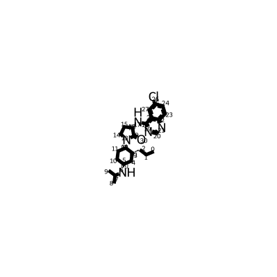 CCC[C@@H]1C[C@H](NC(C)C)CC[C@@H]1N1CC[C@H](Nc2ncnc3ccc(Cl)cc23)C1=O